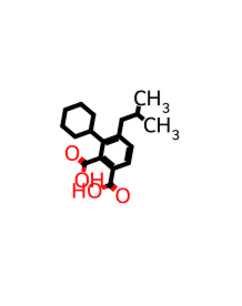 CC(C)Cc1ccc(C(=O)O)c(C(=O)O)c1C1CCCCC1